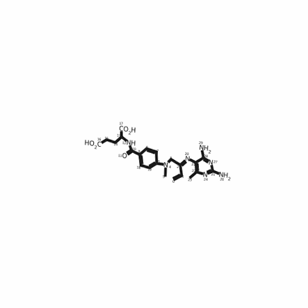 C=C/C(CN(C)c1ccc(C(=O)NC(CCC(=O)O)C(=O)O)cc1)=N\c1c(C)nc(N)nc1N